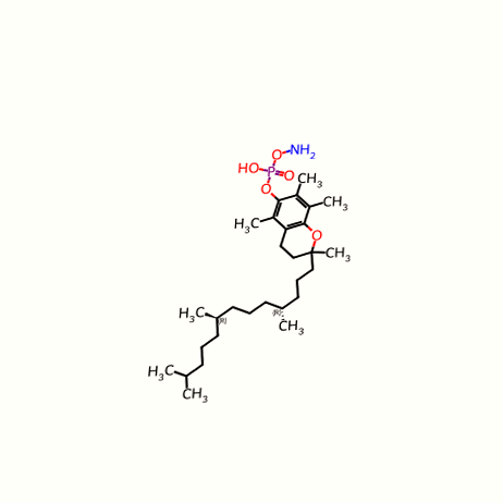 Cc1c(C)c2c(c(C)c1OP(=O)(O)ON)CCC(C)(CCC[C@H](C)CCC[C@H](C)CCCC(C)C)O2